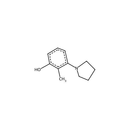 Cc1c(O)cccc1N1CCCC1